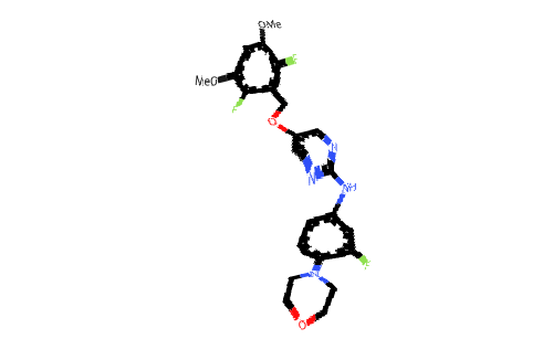 COc1cc(OC)c(F)c(COc2cnc(Nc3ccc(N4CCOCC4)c(F)c3)nc2)c1F